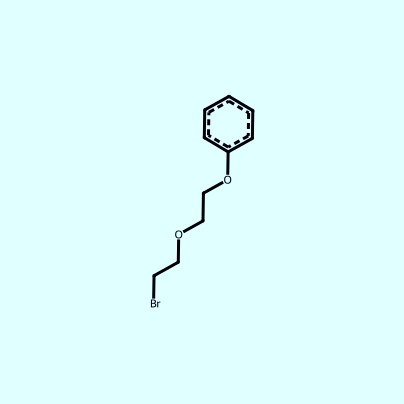 BrCCOCCOc1ccccc1